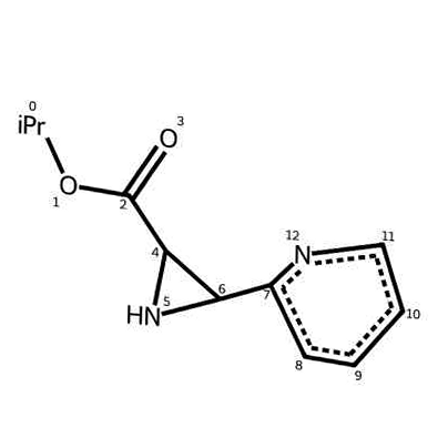 CC(C)OC(=O)C1NC1c1ccccn1